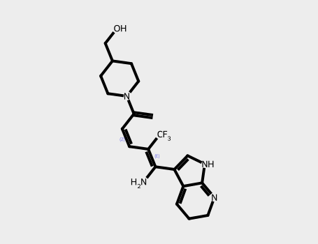 C=C(/C=C\C(=C(/N)c1c[nH]c2c1=CCCN=2)C(F)(F)F)N1CCC(CO)CC1